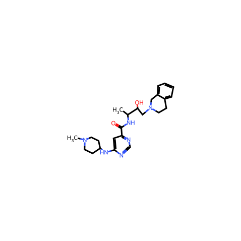 CC(NC(=O)c1cc(NC2CCN(C)CC2)ncn1)C(O)CN1CCc2ccccc2C1